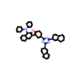 c1ccc(N(c2ccccc2)c2c3ccccc3cc3c2oc2ccc(-c4nc(-c5ccc6ccccc6c5)nc(-c5ccc6ccccc6c5)n4)cc23)cc1